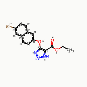 CCOC(=O)c1[nH]nnc1Oc1ccc2cc(Br)ccc2c1